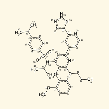 COc1ccccc1Oc1c(OCCO)nc(-c2ccnc(-c3nn[nH]n3)c2)nc1N(C(C)C)S(=O)(=O)c1ccc(C(C)C)cn1